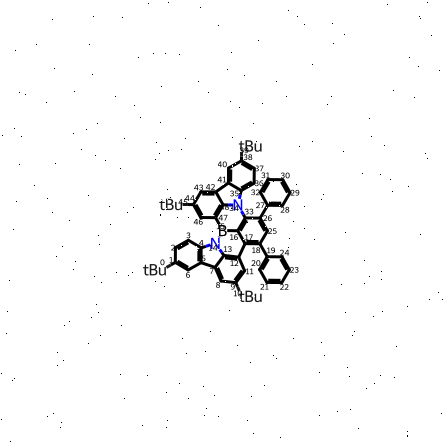 CC(C)(C)c1ccc2c(c1)c1cc(C(C)(C)C)cc3c1n2B1c2c-3c(-c3ccccc3)cc(-c3ccccc3)c2-n2c3ccc(C(C)(C)C)cc3c3cc(C(C)(C)C)cc1c32